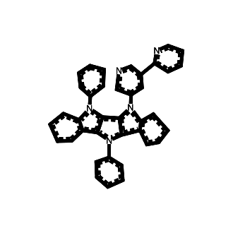 c1ccc(-n2c3ccccc3c3c2c2c(c4ccccc4n2-c2cncc(-c4ccccn4)c2)n3-c2ccccc2)cc1